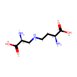 N[C@@H](CCNC[C@H](N)C(=O)O)C(=O)O